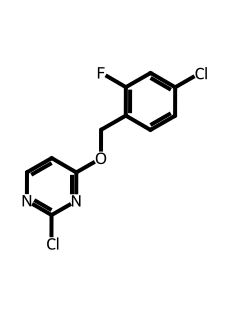 Fc1cc(Cl)ccc1COc1ccnc(Cl)n1